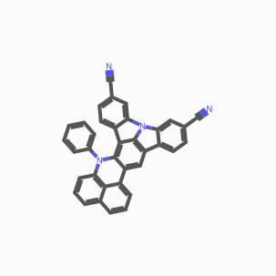 N#Cc1ccc2c3cc4c5cccc6cccc(c65)n(-c5ccccc5)c4c4c5ccc(C#N)cc5n(c2c1)c34